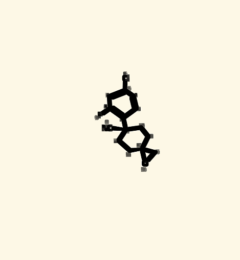 N#C[C@]1(c2ccc(Cl)cc2F)CC[C@@]2(CC1)CO2